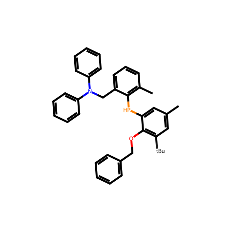 Cc1cc(Pc2c(C)cccc2CN(c2ccccc2)c2ccccc2)c(OCc2ccccc2)c(C(C)(C)C)c1